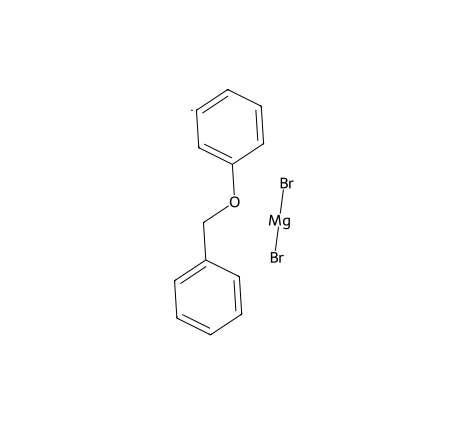 [Br][Mg][Br].[c]1cccc(OCc2ccccc2)c1